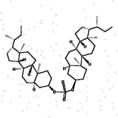 CC[C@@H](C)[C@H]1CC[C@H]2[C@@H]3CC[C@@H]4C[C@H](OS(=O)(=O)O[C@@H]5CC[C@@]6(C)[C@H](CC[C@@H]7[C@@H]6CC[C@]6(C)[C@@H]([C@H](C)CC)CC[C@@H]76)C5)CC[C@]4(C)[C@H]3CC[C@]12C